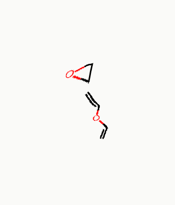 C1CO1.C=COC=C